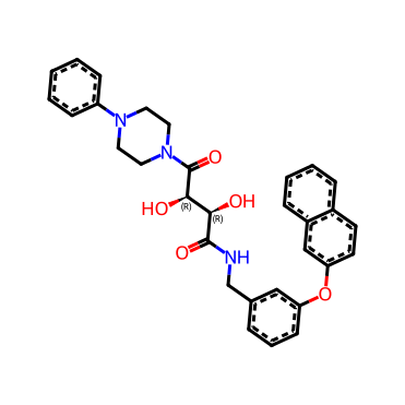 O=C(NCc1cccc(Oc2ccc3ccccc3c2)c1)[C@H](O)[C@@H](O)C(=O)N1CCN(c2ccccc2)CC1